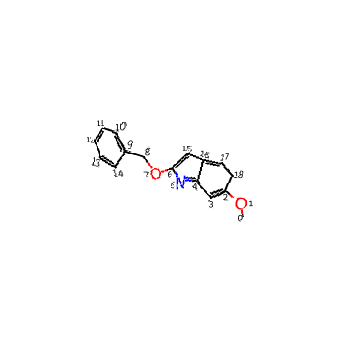 COC1=CC2=NC(OCc3ccccc3)=CC2=CC1